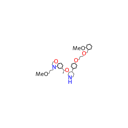 COCCCN1CCOc2ccc([C@H](C)OC3CNCC[C@@H]3c3ccc(OCCCOCc4ccccc4OC)cc3)cc21